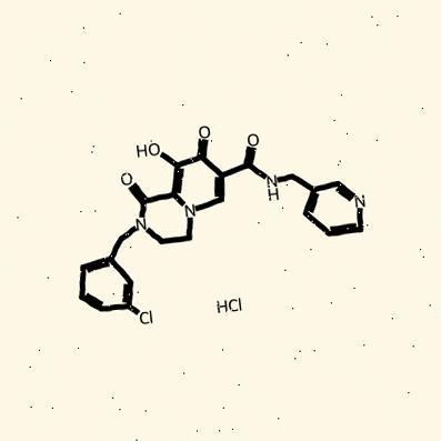 Cl.O=C(NCc1cccnc1)c1cn2c(c(O)c1=O)C(=O)N(Cc1cccc(Cl)c1)CC2